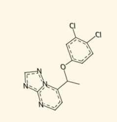 CC(Oc1ccc(Cl)c(Cl)c1)c1ccnc2ncnn12